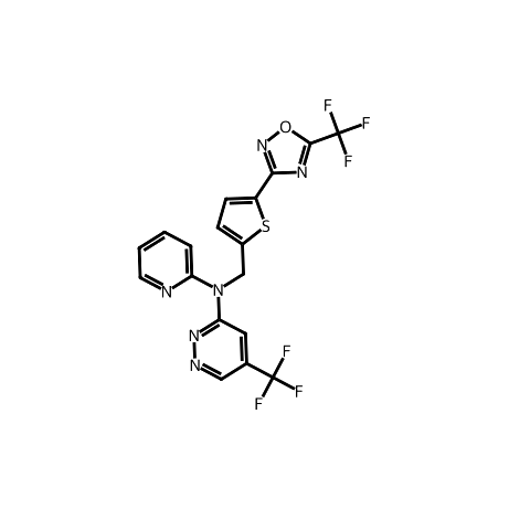 FC(F)(F)c1cnnc(N(Cc2ccc(-c3noc(C(F)(F)F)n3)s2)c2ccccn2)c1